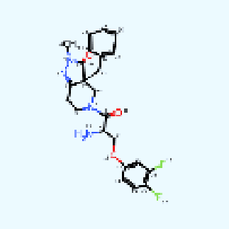 CN1N=C2CCN(C(=O)C(N)COc3ccc(F)c(F)c3)C[C@@]2(Cc2ccccc2)C1=O